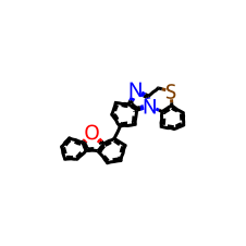 c1ccc2c(c1)SCc1nc3ccc(-c4cccc5c4oc4ccccc45)cc3n1-2